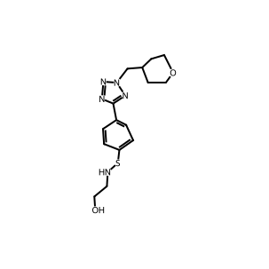 OCCNSc1ccc(-c2nnn(CC3CCOCC3)n2)cc1